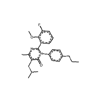 CCCc1ccc(-n2c(-c3cccc(F)c3OC)nc(C)c(CC(C)C)c2=O)cc1